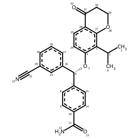 CC(C)c1c(O[C@H](c2ccc(C(N)=O)cc2)c2cccc(C#N)c2)ccc2c1OCCC2=O